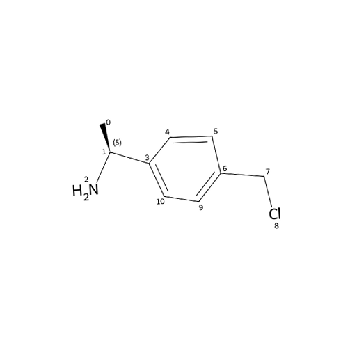 C[C@H](N)c1ccc(CCl)cc1